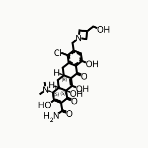 CN(C)[C@@H]1C(O)=C(C(N)=O)C(=O)[C@@]2(O)C(O)=C3C(=O)c4c(O)cc(CN5CC(CO)C5)c(Cl)c4C[C@H]3C[C@@H]12